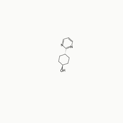 O[C@H]1CC[C@H](c2ncccn2)CC1